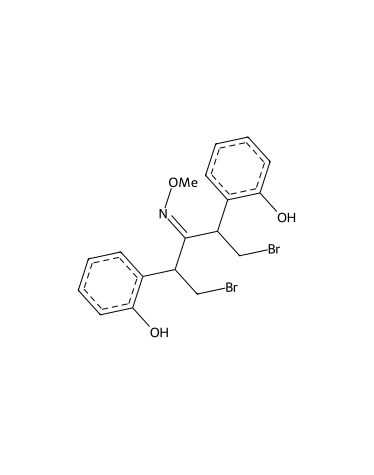 CON=C(C(CBr)c1ccccc1O)C(CBr)c1ccccc1O